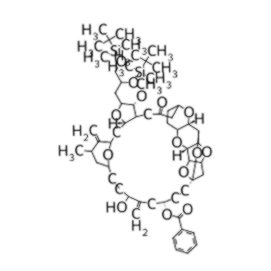 C=C1C[C@@H](OC(=O)c2ccccc2)CC[C@@]23CC4OC5C(O2)[C@H]2OC(CCC2O[C@H]5C4O3)CC(=O)CC2[C@@H](OC)C(CC(CO[Si](C)(C)C(C)(C)C)O[Si](C)(C)C(C)(C)C)O[C@H]2CC2OC(CCC1O)CC(C)C2=C